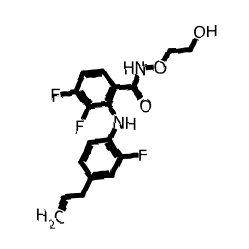 C=CCc1ccc(Nc2c(C(=O)NOCCO)ccc(F)c2F)c(F)c1